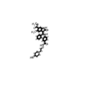 COC(=O)c1cc2c(cc1C)/C(=C(/Nc1ccc(C(=O)NOCCN3CCC(O)CC3)cc1)c1ccccc1)C(=O)N2